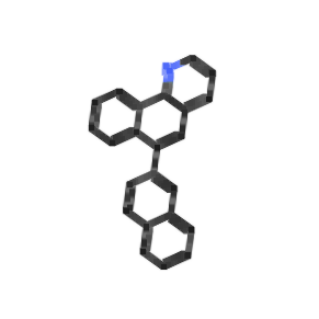 c1ccc2cc(-c3cc4cccnc4c4ccccc34)ccc2c1